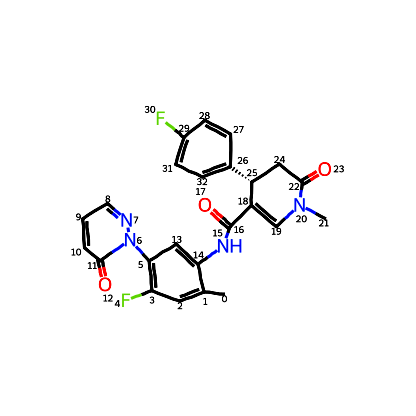 Cc1cc(F)c(-n2ncccc2=O)cc1NC(=O)C1=CN(C)C(=O)C[C@H]1c1ccc(F)cc1